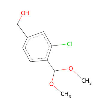 COC(OC)c1ccc(CO)cc1Cl